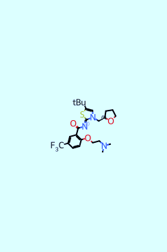 CN(C)CCOc1ccc(C(F)(F)F)cc1C(=O)/N=c1\sc(C(C)(C)C)cn1C[C@H]1CCCO1